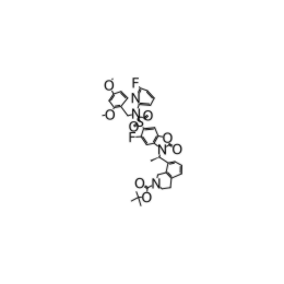 COc1ccc(CN(c2cccc(F)n2)S(=O)(=O)c2cc3oc(=O)n([C@H](C)c4cccc5c4CN(C(=O)OC(C)(C)C)CC5)c3cc2F)c(OC)c1